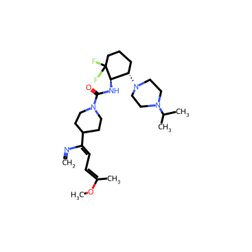 C=N/C(=C\C=C(/C)OC)C1CCN(C(=O)N[C@@H]2[C@@H](N3CCN(C(C)C)CC3)CCCC2(F)F)CC1